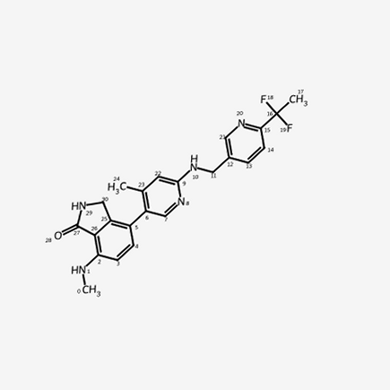 CNc1ccc(-c2cnc(NCc3ccc(C(C)(F)F)nc3)cc2C)c2c1C(=O)NC2